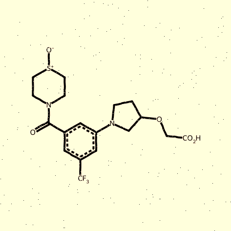 O=C(O)COC1CCN(c2cc(C(=O)N3CC[S+]([O-])CC3)cc(C(F)(F)F)c2)C1